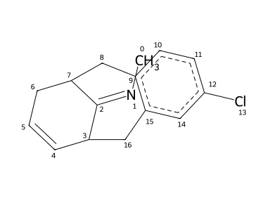 C/N=C1/C2C=CCC1Cc1ccc(Cl)cc1C2